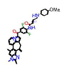 C=C1Cc2cc(C(=O)c3cc(F)c(NC(=O)/C=C/CN[C@H]4CC[C@H](OC)CC4)c(F)c3)n3cccc(c23)-c2c(C)cc3c(nc(C)n3C)c21